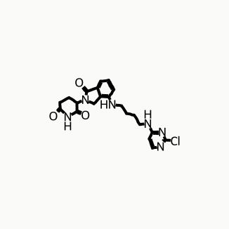 O=C1CCC(N2Cc3c(NCCCCNc4ccnc(Cl)n4)cccc3C2=O)C(=O)N1